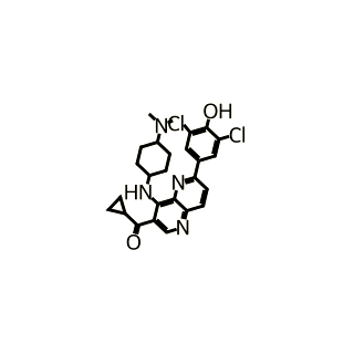 CN(C)C1CCC(Nc2c(C(=O)C3CC3)cnc3ccc(-c4cc(Cl)c(O)c(Cl)c4)nc23)CC1